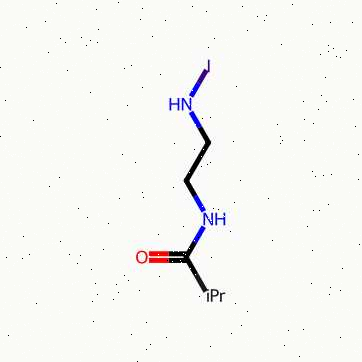 CC(C)C(=O)NCCNI